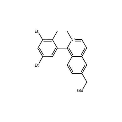 CCc1cc(CC)c(C)c(-c2c3ccc(CC(C)(C)C)cc3cc[n+]2C)c1